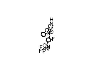 O=S(=O)(N1CCNCC1)N(Cc1ccc(-c2nnc(C(F)(F)F)o2)cc1F)c1ccccc1